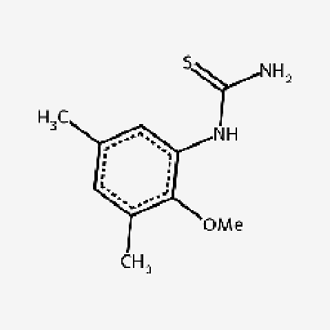 COc1c(C)cc(C)cc1NC(N)=S